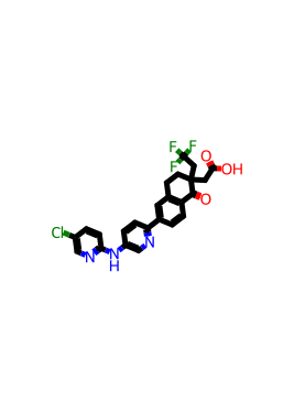 O=C(O)CC1(CC(F)(F)F)CCc2cc(-c3ccc(Nc4ccc(Cl)cn4)cn3)ccc2C1=O